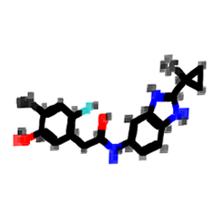 CC(C)(C)c1cc(F)c(CC(=O)Nc2ccc3[nH]c(C4(C(F)(F)F)CC4)nc3c2)cc1O